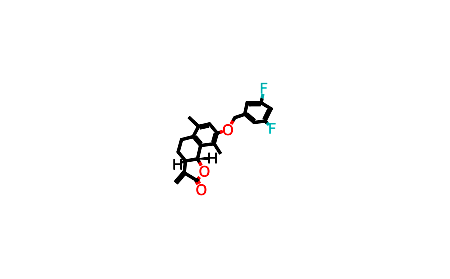 C=C1C(=O)O[C@H]2c3c(C)c(OCc4cc(F)cc(F)c4)cc(C)c3CC[C@@H]12